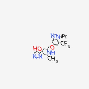 CC(C)n1cnc2cc(OC[C@@H]3C[C@](O)(c4ccncn4)C[C@H](C)N3)cc(C(F)(F)F)c21